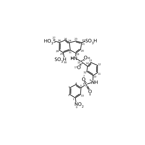 O=[N+]([O-])c1cccc(S(=O)(=O)Nc2cccc(S(=O)(=O)Nc3cc(S(=O)(=O)O)cc4cc(S(=O)(=O)O)cc(S(=O)(=O)O)c34)c2)c1